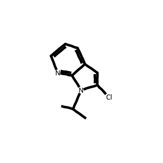 CC(C)n1c(Cl)cc2cccnc21